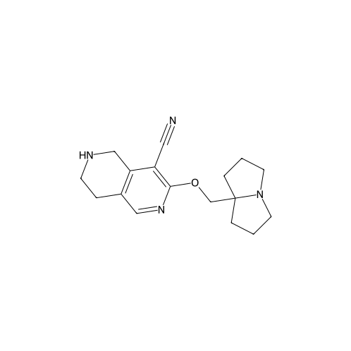 N#Cc1c(OCC23CCCN2CCC3)ncc2c1CNCC2